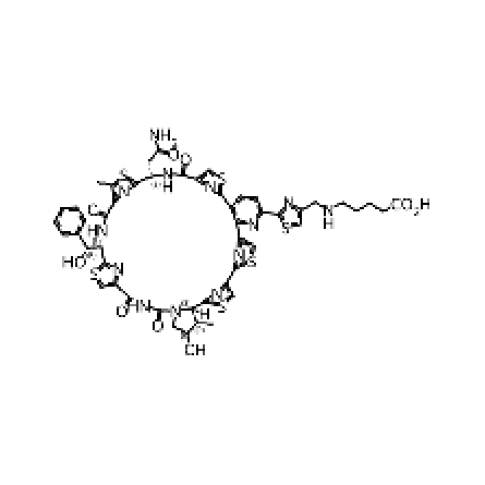 Cc1sc2nc1C(=O)N[C@@H]([C@H](O)c1ccccc1)c1nc(cs1)C(=O)NC(=O)N1C[C@H](O)[C@H](C)[C@H]1c1nc(cs1)-c1nc(cs1)-c1nc(-c3nc(CNCCCCC(=O)O)cs3)ccc1-c1nc(cs1)C(=O)N[C@H]2CC(N)=O